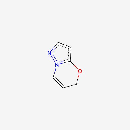 C1=Cn2nccc2OC1